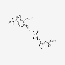 CCCc1c(OCCCC(=O)NCc2ccccc2CC(=O)O)ccc2c(C(F)(F)F)noc12